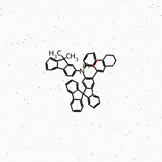 CC(C)c1cc2c(cc1-c1cc3c(cc1N(c1ccccc1)c1ccc4c(c1)C(C)(C)c1ccccc1-4)C1(c4ccccc4-c4ccccc41)c1ccccc1-3)CCCC2